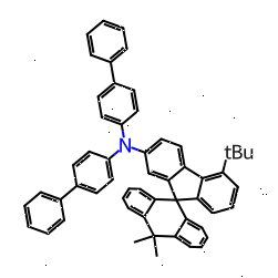 CC(C)(C)c1cccc2c1-c1ccc(N(c3ccc(-c4ccccc4)cc3)c3ccc(-c4ccccc4)cc3)cc1C21c2ccccc2C(C)(C)c2ccccc21